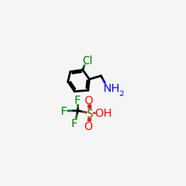 NCc1ccccc1Cl.O=S(=O)(O)C(F)(F)F